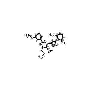 CCC[C@@H](NC(=O)c1cccc(SN)c1)C(Oc1cc(-c2c(C)cccc2C)[nH]n1)C1CC1